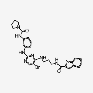 O=C(NCCCNc1nc(Nc2cccc(NC(=O)N3CCCC3)c2)ncc1Br)c1cc2ccccc2s1